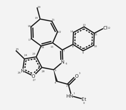 CCNC(=O)C[C@@H]1N=C(c2ccc(Cl)cc2)C2=C(C=CC(C)C=C2)c2c(C)noc21